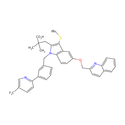 CC(C)(C)Sc1c(CC(C)(C)C(=O)O)n(Cc2cccc(-c3ccc(C(F)(F)F)cn3)c2)c2ccc(OCc3ccc4ccccc4n3)cc12